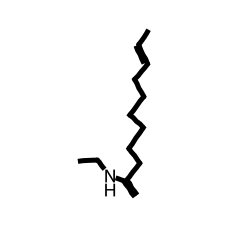 C=C(CCCCCCC=CC)NCC